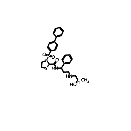 C[C@H](O)CNCCC(NC(=O)C1SCCN1S(=O)(=O)c1ccc(-c2ccccc2)cc1)c1ccccc1